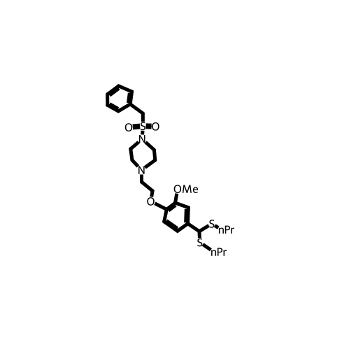 CCCSC(SCCC)c1ccc(OCCN2CCN(S(=O)(=O)Cc3ccccc3)CC2)c(OC)c1